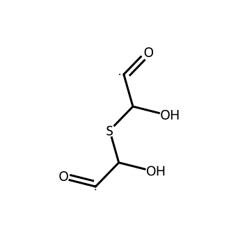 O=[C]C(O)SC(O)[C]=O